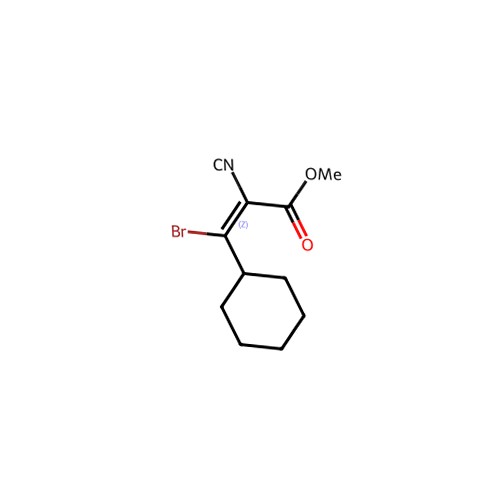 [C-]#[N+]/C(C(=O)OC)=C(\Br)C1CCCCC1